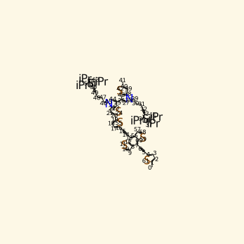 Cc1ccc(C#Cc2c3ccsc3c(C#Cc3ccc(-c4cc5c(s4)c(-c4cn(CCCC#C[Si](C(C)C)(C(C)C)C(C)C)c6cc(C)sc46)cn5CCCC#C[Si](C(C)C)(C(C)C)C(C)C)s3)c3ccsc23)s1